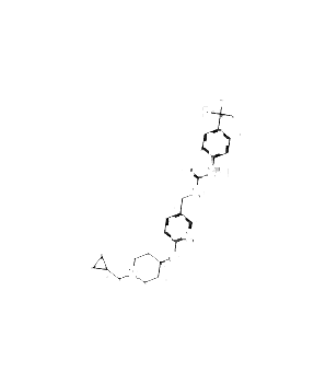 O=C(NCc1ccc(OC2CCN(CC3CC3)CC2)nc1)Nc1ccc(C(F)(F)F)cc1